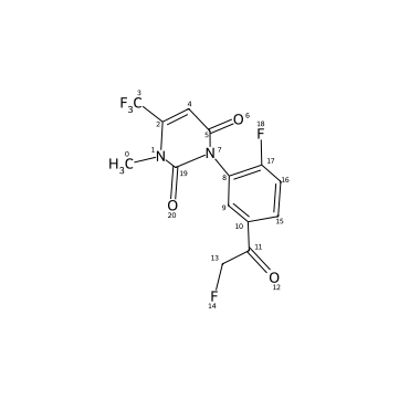 Cn1c(C(F)(F)F)cc(=O)n(-c2cc(C(=O)CF)ccc2F)c1=O